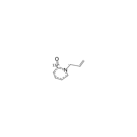 C=C[CH]n1cccc[13c]1=O